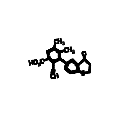 C#Cc1c(C(=O)O)cc(C)c(C)c1-c1ccc2c(c1)C(=O)CCS2